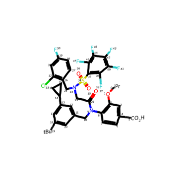 CC(C)Oc1cc(C(=O)O)ccc1N(Cc1cc(C2CC2)cc(C(C)(C)C)c1)C(=O)CN(Cc1ccc(F)cc1Cl)S(=O)(=O)c1c(F)c(F)c(F)c(F)c1F